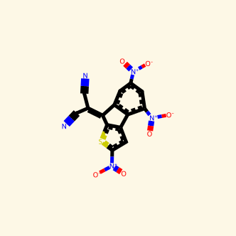 N#CC(C#N)=C1c2cc([N+](=O)[O-])cc([N+](=O)[O-])c2-c2cc([N+](=O)[O-])sc21